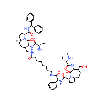 CC[C@H](NC)C(=O)N[C@@H]1C(=O)N2C(CC[C@@H]1CO)CC[C@H]2C(=O)N[C@H](C(=O)NCCCCCCCC(=O)NC[C@H]1CC[C@H]2CC[C@@H](C(=O)NC(c3ccccc3)c3ccccc3)N2C(=O)[C@H]1NC(=O)[C@H](CC)NC)c1ccccc1